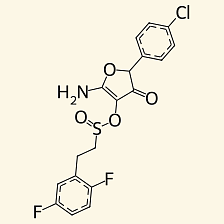 NC1=C(OS(=O)CCc2cc(F)ccc2F)C(=O)C(c2ccc(Cl)cc2)O1